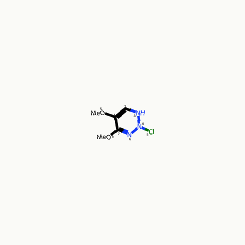 COC1=CNN(Cl)N=C1OC